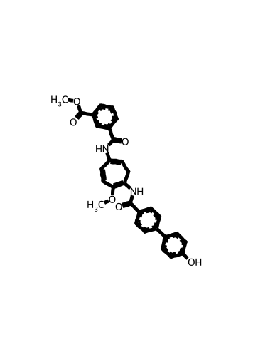 COC(=O)c1cccc(C(=O)NC2=CCC(NC(=O)c3ccc(-c4ccc(O)cc4)cc3)=C(OC)C=C2)c1